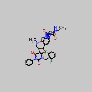 CCNC(=O)Nc1ccc(-c2sc3c(c2CN(C)CCNC(C)=O)c(=O)n(-c2ccccc2)c(=O)n3Cc2c(F)cccc2F)cc1